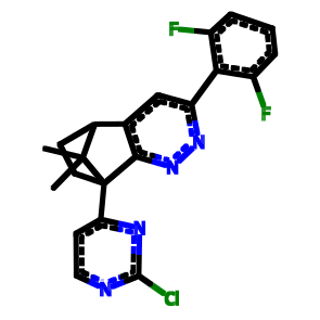 CC1(C)C2CCC1(c1ccnc(Cl)n1)c1nnc(-c3c(F)cccc3F)cc12